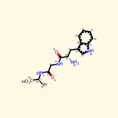 CC(C)[C@H](NC(=O)CNC(=O)[C@@H](N)Cc1c[nH]c2ccccc12)C(=O)O